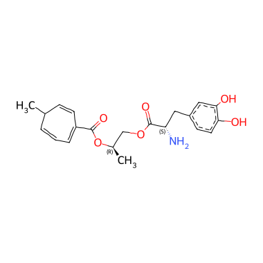 CC1C=CC=C(C(=O)O[C@H](C)COC(=O)[C@@H](N)Cc2ccc(O)c(O)c2)C=C1